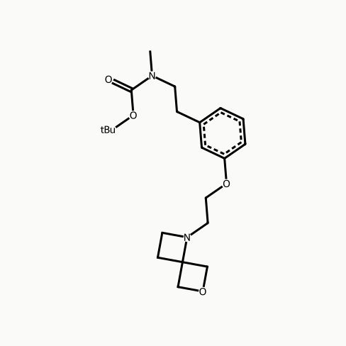 CN(CCc1cccc(OCCN2CCC23COC3)c1)C(=O)OC(C)(C)C